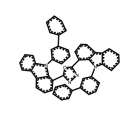 c1ccc(-c2cccc(-n3c4ccccc4c4cccc(-c5nnc(-c6cccc7c8ccccc8n(-c8cccc(-c9ccccc9)c8)c67)o5)c43)c2)cc1